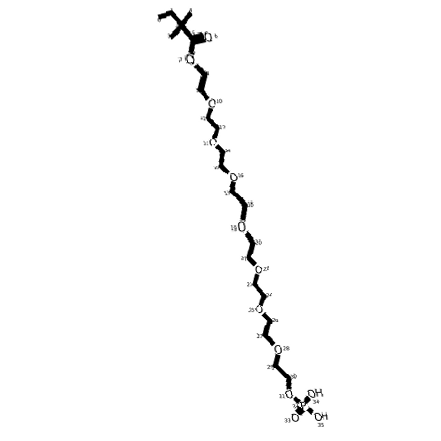 CCC(C)(C)C(=O)OCCOCCOCCOCCOCCOCCOCCOCCOP(=O)(O)O